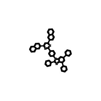 c1ccc(-c2cc(-c3ccccc3)c3nc(-c4ccccc4)n(-c4ccc(-c5nc(-c6ccc7ccccc7c6)cc(-c6ccc7ccccc7c6)n5)cc4)c3c2)cc1